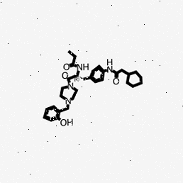 CCC(=O)N[C@H](Cc1ccc(NC(=O)CC2CCCCC2)cc1)C(=O)N1CCN(Cc2ccccc2O)CC1